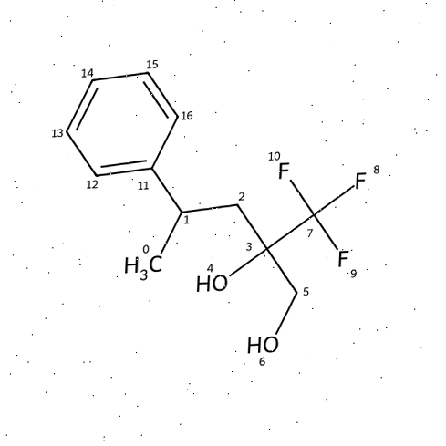 CC(CC(O)(CO)C(F)(F)F)c1ccccc1